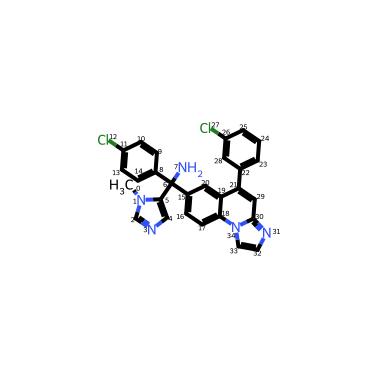 Cn1cncc1C(N)(c1ccc(Cl)cc1)c1ccc2c(c1)c(-c1cccc(Cl)c1)cc1nccn12